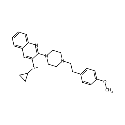 COc1ccc(CCN2CCN(c3nc4ccccc4nc3NC3CC3)CC2)cc1